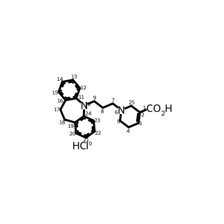 Cl.O=C(O)C1=CCCN(CCCN2c3ccccc3CCc3ccccc32)C1